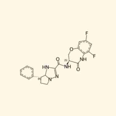 O=C(N[C@H]1COc2cc(F)cc(F)c2NC1=O)C1=NN2CC[C@H](c3ccccc3)C2N1